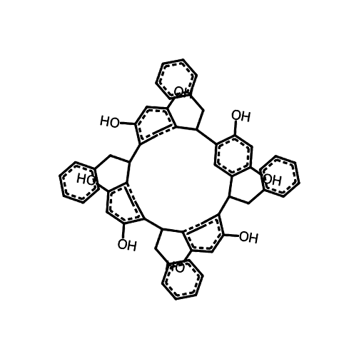 Oc1cc(O)c2cc1C(Cc1ccccc1)c1cc(c(O)cc1O)C(Cc1ccccc1)c1cc(c(O)cc1O)C(Cc1ccccc1)c1cc(c(O)cc1O)C2Cc1ccccc1